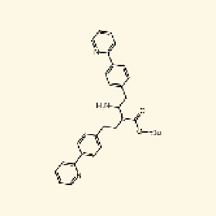 CC(C)(C)OC(=O)N(CCc1ccc(-c2ccccn2)cc1)C(N)Cc1ccc(-c2ccccn2)cc1